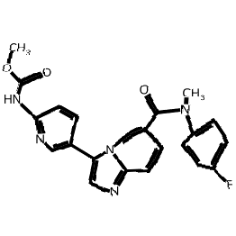 COC(=O)Nc1ccc(-c2cnc3ccc(C(=O)N(C)c4ccc(F)cc4)cn23)cn1